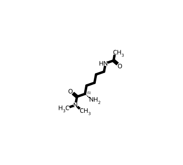 CC(=O)NCCCC[C@H](N)C(=O)N(C)C